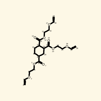 C=COCCOC(=O)C1CCC(C(=O)OCCOC=C)C(C(=O)OCCOC=C)C1